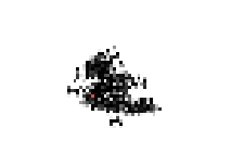 CC[C@@H](OC(=O)[C@H](C)[C@@H](O[C@H]1C[C@@](C)(OC)[C@@H](O)[C@H](C)O1)[C@H](C)[C@@H](O[C@@H]1O[C@H](C)C[C@H](N(C)CCC(=O)N[C@H](CF)Cc2ccc(-c3ccc(C)nc3)cc2)[C@H]1O)C(C)(C)O)[C@@](C)(O)[C@H](O)[C@@H](C)N(C)C